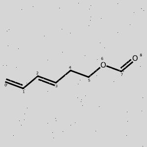 C=C/C=C/CCO[C]=O